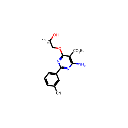 CCOC(=O)c1c(N)nc(-c2cccc(C#N)c2)nc1OC[C@H](C)O